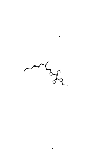 CCCC=CCC(C)CCOC(=O)C(=O)OCC